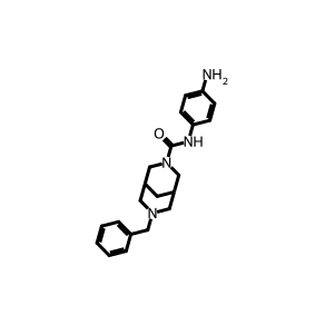 Nc1ccc(NC(=O)N2CC3CC(CN(Cc4ccccc4)C3)C2)cc1